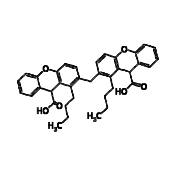 CCCCc1c(Cc2ccc3c(c2CCCC)C(C(=O)O)c2ccccc2O3)ccc2c1C(C(=O)O)c1ccccc1O2